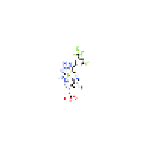 C[C@@H]1CCCN1Cc1sc(Nc2ncnc(N3CCN(CCC(=O)O)[C@@H](C)C3)c2F)nc1-c1cc(F)cc(C(F)(F)F)c1